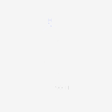 O=S(=O)(O)c1ccc2c(c1)CNC2